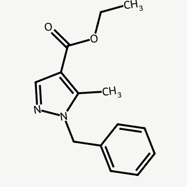 CCOC(=O)c1cnn(Cc2ccccc2)c1C